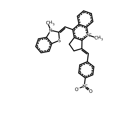 CN1/C(=C/c2c3c([n+](C)c4ccccc24)/C(=C/c2ccc([N+](=O)[O-])cc2)CC3)Sc2ccccc21